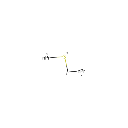 CCC[CH]SCCC